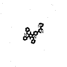 Cc1c2c(-c3ccccc3)nc3cc(-c4cncc(-c5ccccn5)c4)ccc3c2c(C)c2c(-c3ccccc3)nc3ccccc3c12